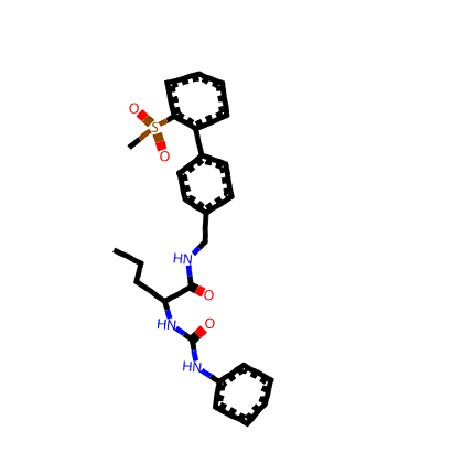 CCCC(NC(=O)Nc1ccccc1)C(=O)NCc1ccc(-c2ccccc2S(C)(=O)=O)cc1